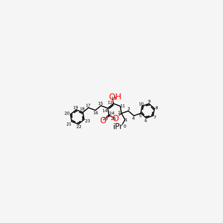 CC(C)CC1(CCc2ccccc2)CC(O)=C(CCCc2ccccc2)C(=O)O1